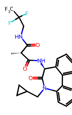 C[C@H](C(=O)NCC(F)(F)C(F)(F)F)C(=O)N[C@@H]1C(=O)N(CC2CC2)c2ccccc2-c2ccccc21